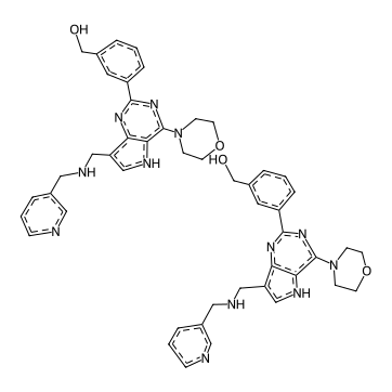 OCc1cccc(-c2nc(N3CCOCC3)c3[nH]cc(CNCc4cccnc4)c3n2)c1.OCc1cccc(-c2nc(N3CCOCC3)c3[nH]cc(CNCc4cccnc4)c3n2)c1